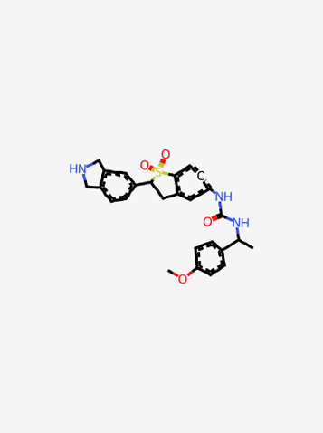 COc1ccc(C(C)NC(=O)Nc2ccc3c(c2)CC(c2ccc4c(c2)CNC4)S3(=O)=O)cc1